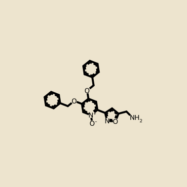 NCc1cc(-c2cc(OCc3ccccc3)c(OCc3ccccc3)c[n+]2[O-])no1